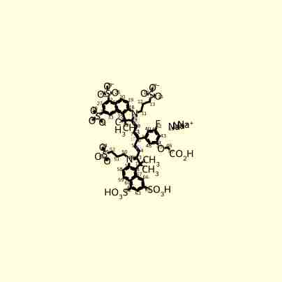 CC1(C)C(/C=C/C(=C/C=C2/N(CCCS(=O)(=O)[O-])c3ccc4c(S(=O)(=O)[O-])cc(S(=O)(=O)[O-])cc4c3C2(C)C)c2cc(F)cc(OCC(=O)O)c2)=[N+](CCCS(=O)(=O)[O-])c2ccc3c(S(=O)(=O)O)cc(S(=O)(=O)O)cc3c21.[Na+].[Na+].[Na+]